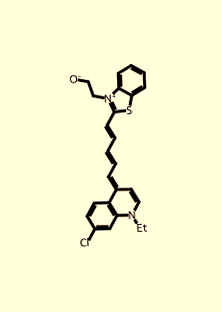 CCN1C=C\C(=C/C=C/C=C/c2sc3ccccc3[n+]2CC[O-])c2ccc(Cl)cc21